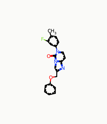 Cc1ccc(-n2ccc3nc(COc4ccccc4)cn3c2=O)cc1F